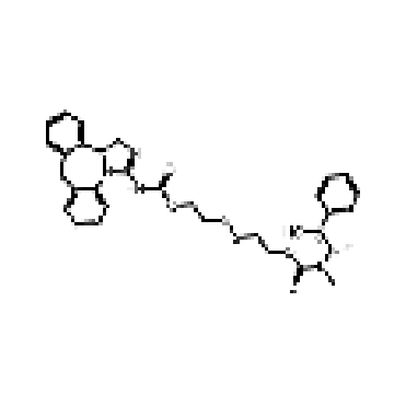 C[C@@H]([C@@H](O)c1ccccc1)N(C)C(=O)OCCSSCCOC(=O)NC1=NCC2c3ccccc3Cc3ccccc3N12